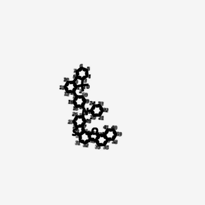 CC1(C)c2ccccc2-c2cccc(-c3ccc(N(c4ccccc4)c4ccc5sc6ccc7c8ccc9ccccc9c8oc7c6c5c4)cc3)c21